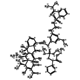 CCOC(=O)C(SP(=S)(OC)OC)c1ccccc1.CN(C)[C@@H]1C(O)=C(C(N)=O)C(=O)[C@@]2(O)C(O)=C3C(=O)c4c(O)cccc4[C@@](C)(O)[C@H]3[C@H](O)[C@@H]12.COc1cc(OC)nc(NC(=O)NS(=O)(=O)c2ncccc2C(=O)N(C)C)n1.O.O